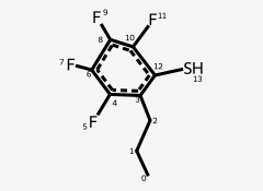 CCCc1c(F)c(F)c(F)c(F)c1S